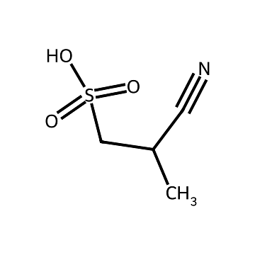 CC(C#N)CS(=O)(=O)O